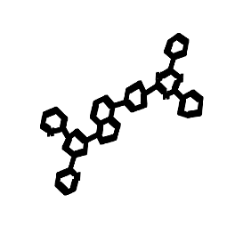 c1ccc(-c2nc(-c3ccccc3)nc(-c3ccc(-c4cccc5c(-c6cc(-c7ccccn7)cc(-c7ccccn7)c6)cccc45)cc3)n2)cc1